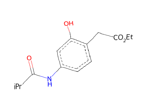 CCOC(=O)Cc1ccc(NC(=O)C(C)C)cc1O